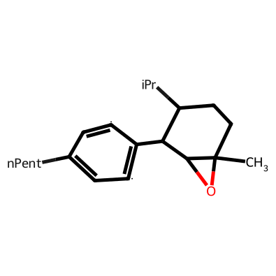 CCCCCc1c[c]c(C2C(C(C)C)CCC3(C)OC23)[c]c1